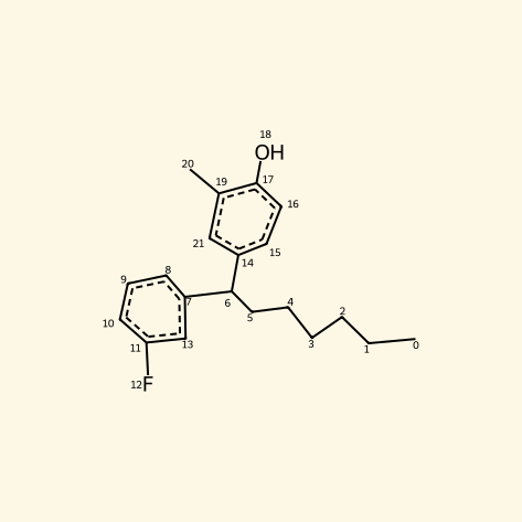 CCCCCCC(c1cccc(F)c1)c1ccc(O)c(C)c1